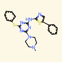 CN1CCN(c2nc(Nc3ncc(-c4ccccc4)s3)nc(Sc3ccccc3)n2)CC1